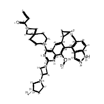 C=CC(=O)N1CC2(CCN(c3nc(N4CC(N5CC[C@H](C)C5)C4)nc4c(OCC)c(-c5c(C)ccc6[nH]ncc56)c(C5CC5)cc34)CC2)C1